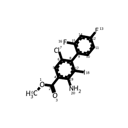 COC(=O)c1cc(Cl)c(-c2ccc(F)cc2F)c(I)c1N